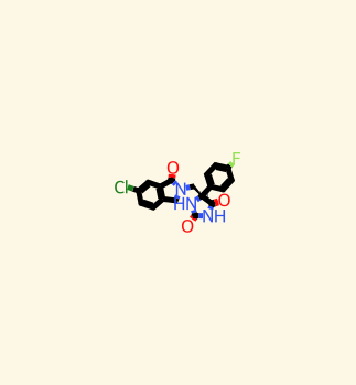 O=C1NC(=O)[C@@](CN2Cc3ccc(Cl)cc3C2=O)(c2ccc(F)cc2)N1